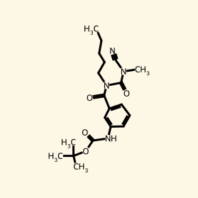 CCCCCN(C(=O)c1cccc(NC(=O)OC(C)(C)C)c1)C(=O)N(C)C#N